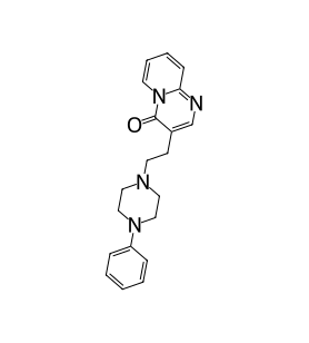 O=c1c(CCN2CCN(c3ccccc3)CC2)cnc2ccccn12